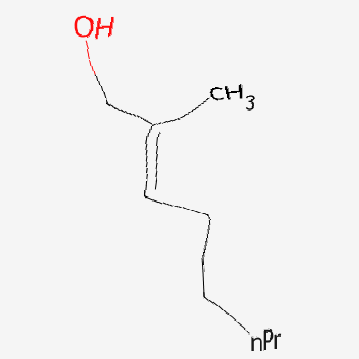 CCCCC/C=C(\C)CO